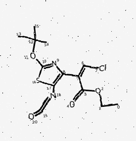 CCOC(=O)C(=CCl)c1nc(OC(C)(C)C)sc1N=C=O